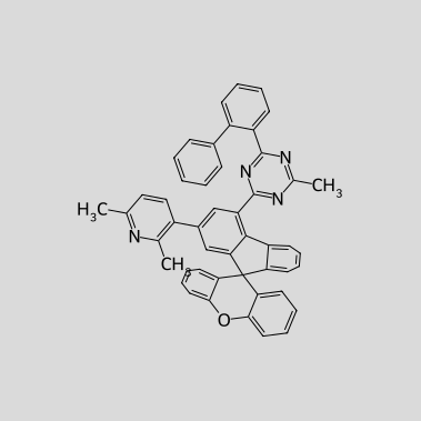 Cc1ccc(-c2cc(-c3nc(C)nc(-c4ccccc4-c4ccccc4)n3)c3c(c2)C2(c4ccccc4Oc4ccccc42)c2ccccc2-3)c(C)n1